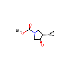 CC(C)(C)OC(=O)N1CC(=O)C(C2CC2)C1